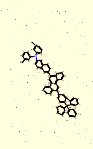 Cc1cccc(N(c2cccc(C)c2)c2ccc3cc(-c4cc5c6ccccc6c(-c6ccc7c(c6)-c6ccccc6C7(c6ccccc6)c6ccccc6)cc5c5ccccc45)ccc3c2)c1